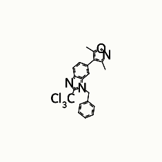 Cc1noc(C)c1-c1ccc2nc(C(Cl)(Cl)Cl)n(Cc3ccccc3)c2c1